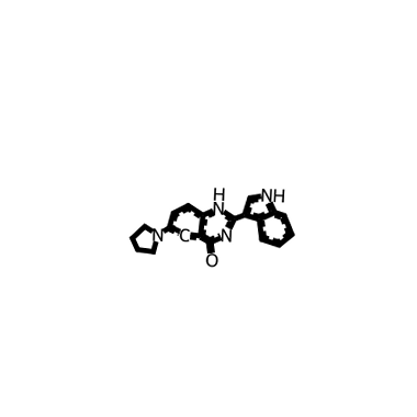 O=c1nc(-c2c[nH]c3ccccc23)[nH]c2ccc(N3CCCC3)cc12